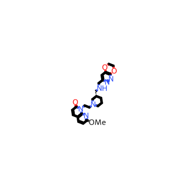 COc1ccc2ccc(=O)n(CCN3CCC[C@@H](CNCc4cc5c(nn4)OCCO5)C3)c2n1